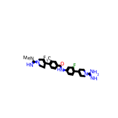 CNC(=N)N1CC=C(c2ccc(C(=O)Nc3ccc(C4=CCN(C(=N)N)CC4)c(F)c3)cc2C(F)(F)F)CC1